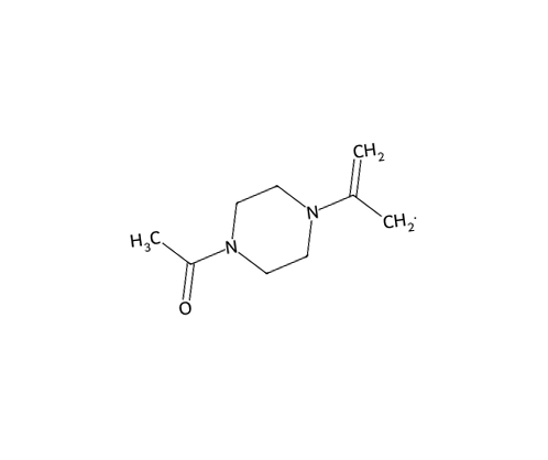 [CH2]C(=C)N1CCN(C(C)=O)CC1